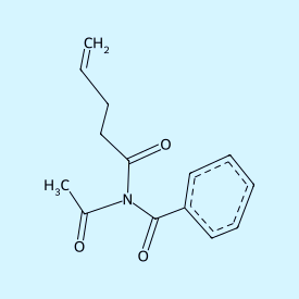 C=CCCC(=O)N(C(C)=O)C(=O)c1ccccc1